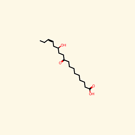 CC/C=C\CC(O)CCC(=O)CCCCCCCCC(=O)O